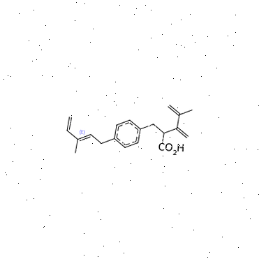 C=C/C(C)=C/Cc1ccc(CC(C(=C)C(=C)C)C(=O)O)cc1